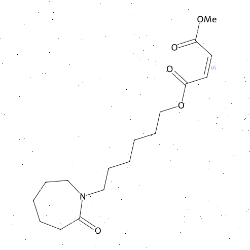 COC(=O)/C=C\C(=O)OCCCCCCN1CCCCCC1=O